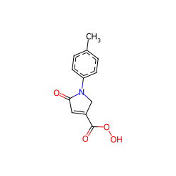 Cc1ccc(N2CC(C(=O)OO)=CC2=O)cc1